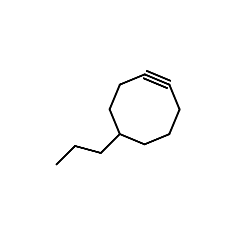 CCCC1CCC#CCCC1